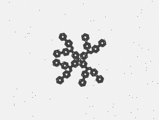 C(=C(c1ccc(-c2ccccc2)cc1)c1cc[c]([Sn]([c]2ccc(C(=Cc3ccc(-c4ccccc4)cc3)c3ccc(-c4ccccc4)cc3)cc2)([c]2ccc(C(=Cc3ccc(-c4ccccc4)cc3)c3ccc(-c4ccccc4)cc3)cc2)[c]2ccc(C(=Cc3ccc(-c4ccccc4)cc3)c3ccc(-c4ccccc4)cc3)cc2)cc1)c1ccc(-c2ccccc2)cc1